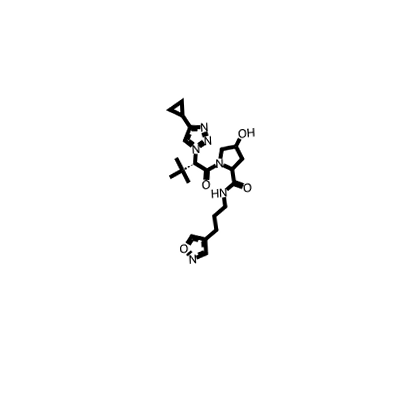 CC(C)(C)[C@@H](C(=O)N1CC(O)CC1C(=O)NCCCc1cnoc1)n1cc(C2CC2)nn1